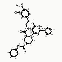 COc1ccc(CCNC(=O)C2CN(C(=O)Nc3ccccc3)CCN2c2cc(C(F)(F)F)nc(-n3ccnc3)n2)cc1Cl